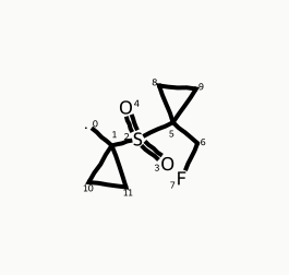 [CH2]C1(S(=O)(=O)C2(CF)CC2)CC1